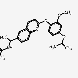 COc1cc(OC(C)C)ccc1Oc1ccc2cc(C(C)NC(C)=O)ccc2n1